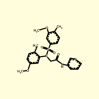 COc1ccc(C)c(N(CC(=O)Nc2cccnc2)S(=O)(=O)c2ccc(C)c(OC)c2)c1